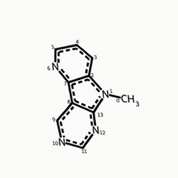 Cn1c2cccnc2c2cncnc21